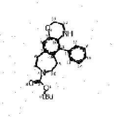 CC(C)(C)OC(=O)N1CCc2cc3c(c(-c4ccccc4)c2CC1)NCCO3